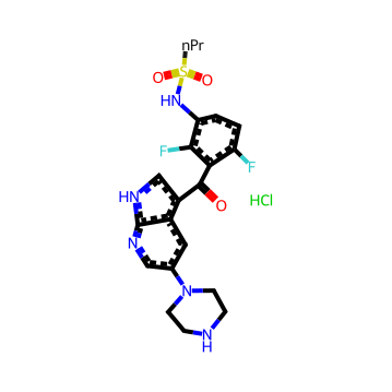 CCCS(=O)(=O)Nc1ccc(F)c(C(=O)c2c[nH]c3ncc(N4CCNCC4)cc23)c1F.Cl